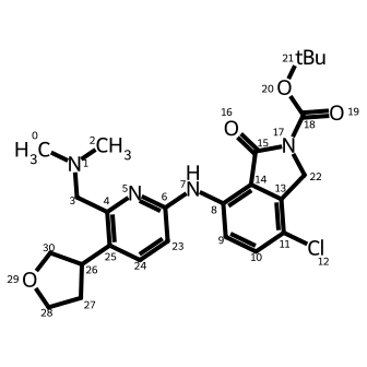 CN(C)Cc1nc(Nc2ccc(Cl)c3c2C(=O)N(C(=O)OC(C)(C)C)C3)ccc1C1CCOC1